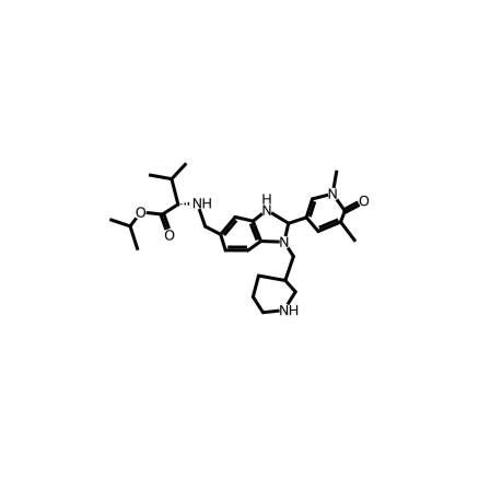 Cc1cc(C2Nc3cc(CN[C@H](C(=O)OC(C)C)C(C)C)ccc3N2CC2CCCNC2)cn(C)c1=O